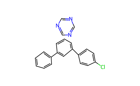 Clc1ccc(-c2cccc(-c3ccccc3)c2)cc1.c1ncncn1